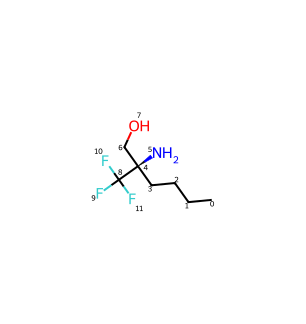 CCCC[C@@](N)(CO)C(F)(F)F